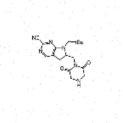 CC(C)(C)CN1c2nc(C#N)ncc2CC1CN1C(=O)CNCC1=O